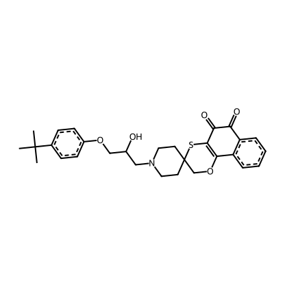 CC(C)(C)c1ccc(OCC(O)CN2CCC3(CC2)COC2=C(S3)C(=O)C(=O)c3ccccc32)cc1